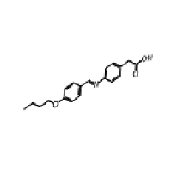 CCCCOc1ccc(C=Nc2ccc(CC(=O)O)cc2)cc1